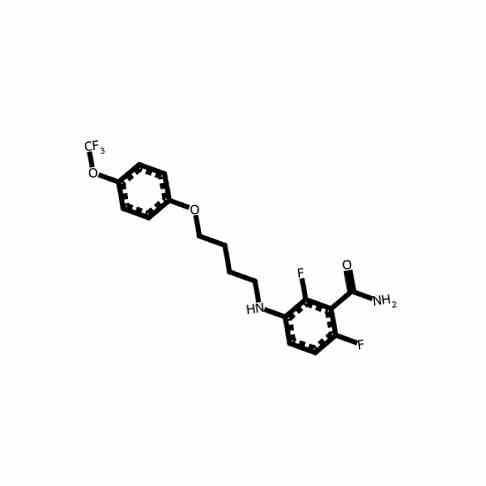 NC(=O)c1c(F)ccc(NCCCCOc2ccc(OC(F)(F)F)cc2)c1F